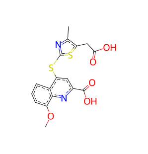 COc1cccc2c(Sc3nc(C)c(CC(=O)O)s3)cc(C(=O)O)nc12